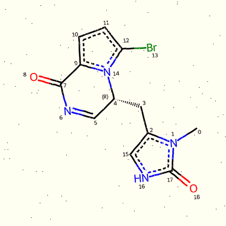 Cn1c(C[C@@H]2C=NC(=O)c3ccc(Br)n32)c[nH]c1=O